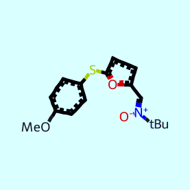 COc1ccc(Sc2ccc(C=[N+]([O-])C(C)(C)C)o2)cc1